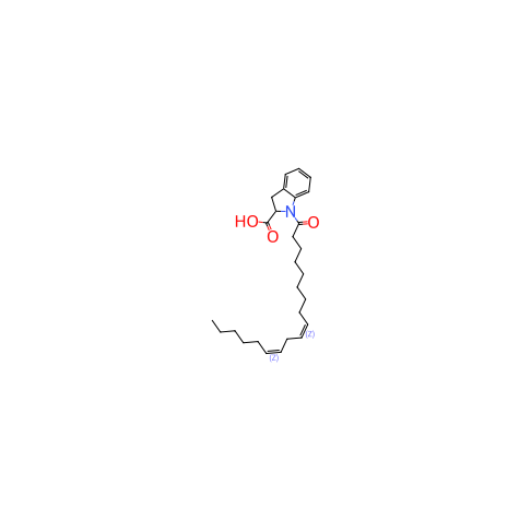 CCCCC/C=C\C/C=C\CCCCCCCC(=O)N1c2ccccc2CC1C(=O)O